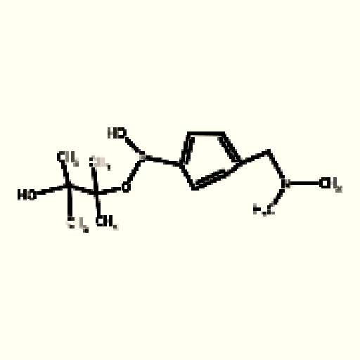 CN(C)Cc1ccc(B(O)OC(C)(C)C(C)(C)O)cc1